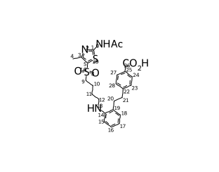 CC(=O)Nc1nc(C)c(S(=O)(=O)CCCCNc2ccccc2CCc2ccc(C(=O)O)cc2)s1